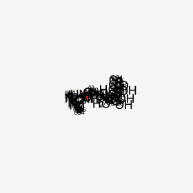 COc1cccc2c1C(=O)c1c(O)c3c(c(O)c1C2=O)C[C@@](O)(C(=O)CO)CC3OC1CC(NC(=O)OCc2cc(C)c(OC(=O)NC3CCC4C(c5ccccn5)=NN=C(c5ccccn5)C4CCC3N)c(C)c2)C(O)C(C)O1